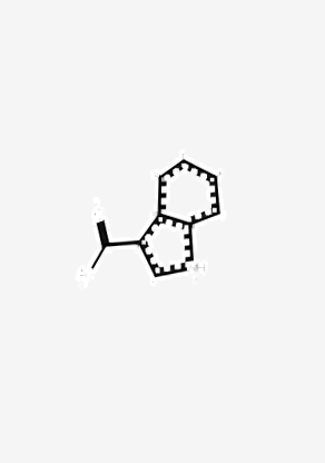 CC(=O)C(=O)c1c[nH]c2ccccc12